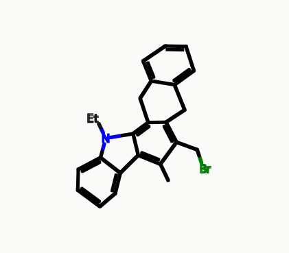 CCn1c2ccccc2c2c(C)c(CBr)c3c(c21)Cc1ccccc1C3